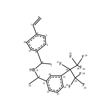 C=Cc1ccc(C(C)BC(C)c2cccc(C(F)(C(F)(F)F)C(F)(F)F)c2)cc1